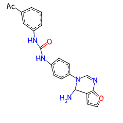 CC(=O)c1cccc(NC(=O)Nc2ccc(N3C=Nc4occc4C3N)cc2)c1